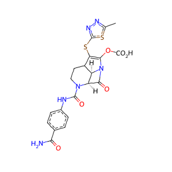 Cc1nnc(SC2=C(OC(=O)O)N3C(=O)[C@@H]4[C@H]3C2CCN4C(=O)Nc2ccc(C(N)=O)cc2)s1